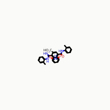 Cc1ccccc1NC(=N)c1c(C(=O)O)cc(C(=O)Nc2ccccc2C)c2c3ccc(c(=O)[nH]c3=O)c12